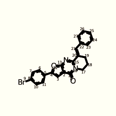 O=c1c2cc(-c3ccc(Br)cc3)oc2nc2n1CCC/C2=C\c1ccccc1